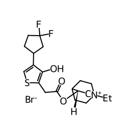 CC[N+]12CCC(CC1)[C@@H](OC(=O)Cc1scc(C3CCC(F)(F)C3)c1O)C2.[Br-]